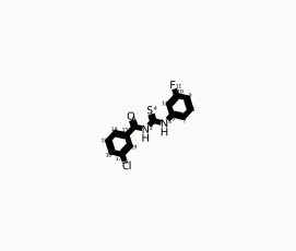 O=C(NC(=S)Nc1cccc(F)c1)c1cccc(Cl)c1